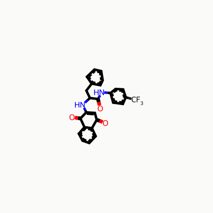 O=C1C=C(NC(Cc2ccccc2)C(=O)Nc2ccc(C(F)(F)F)cc2)C(=O)c2ccccc21